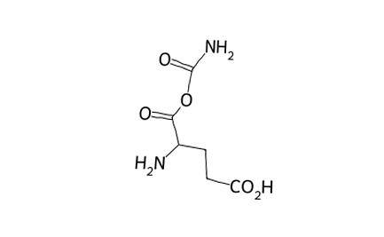 NC(=O)OC(=O)C(N)CCC(=O)O